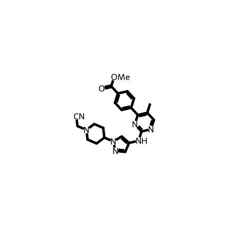 COC(=O)c1ccc(-c2nc(Nc3cnn(C4CCN(CC#N)CC4)c3)ncc2C)cc1